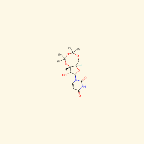 CC(C)[Si]1(C(C)C)OC[C@@]2(F)O[C@@H](n3ccc(=O)[nH]c3=O)[C@H](O)[C@@H]2O[Si](C(C)C)(C(C)C)O1